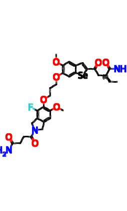 CC[C@@H](CC(=O)c1cc2cc(OC)c(OCCCOc3c(OC)cc4c(c3F)CN(C(=O)CCC(N)=O)C4)cc2[se]1)C(N)=O